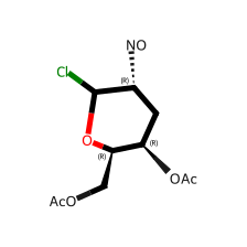 CC(=O)OC[C@H]1OC(Cl)[C@H](N=O)C[C@H]1OC(C)=O